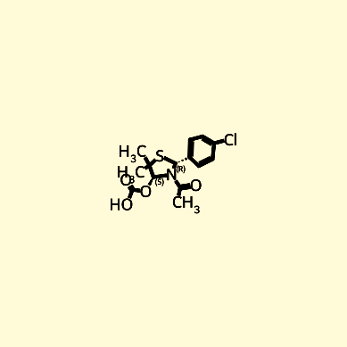 CC(=O)N1[C@@H](c2ccc(Cl)cc2)SC(C)(C)[C@@H]1OC(=O)O